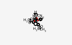 CN(C)C(=O)c1ccc2c(c1)CCc1cc(C(=O)N(C)C)ccc1C2(C[C@H](NCC(=O)N1[C@H](C#N)C[C@@H]2C[C@@H]21)c1ccc(F)cc1)c1nnn[nH]1